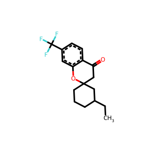 CCC1CCCC2(CC(=O)c3ccc(C(F)(F)F)cc3O2)C1